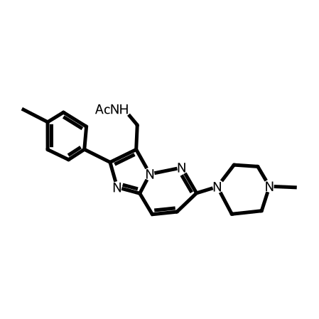 CC(=O)NCc1c(-c2ccc(C)cc2)nc2ccc(N3CCN(C)CC3)nn12